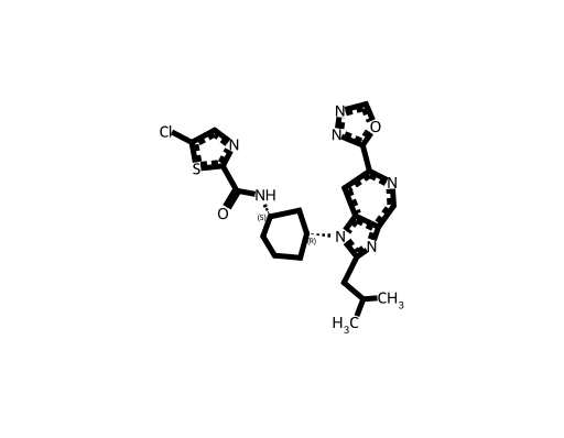 CC(C)Cc1nc2cnc(-c3nnco3)cc2n1[C@@H]1CCC[C@H](NC(=O)c2ncc(Cl)s2)C1